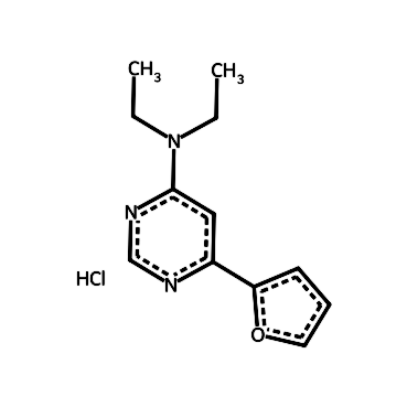 CCN(CC)c1cc(-c2ccco2)ncn1.Cl